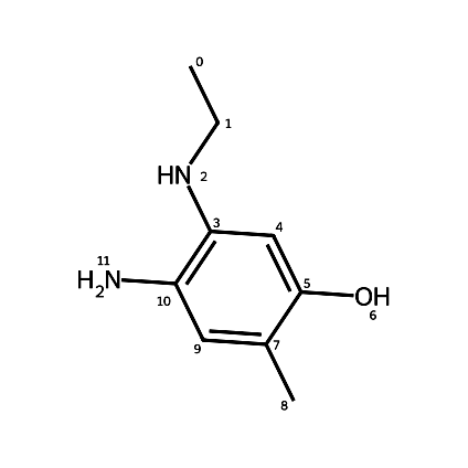 CCNc1cc(O)c(C)cc1N